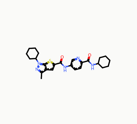 Cc1nn(C2CCCCC2)c2sc(C(=O)Nc3ccc(C(=O)NC4CCCCC4)nc3)cc12